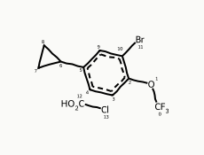 FC(F)(F)Oc1ccc(C2CC2)cc1Br.O=C(O)Cl